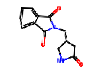 O=C1CC(CN2C(=O)c3ccccc3C2=O)CN1